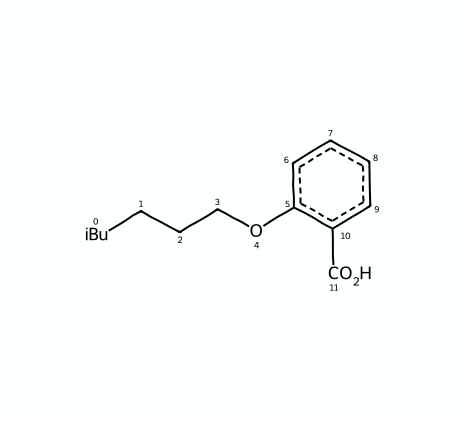 CCC(C)CCCOc1ccccc1C(=O)O